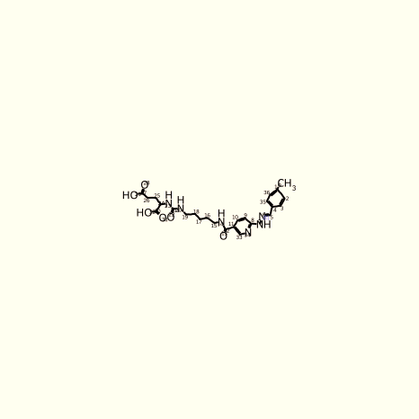 Cc1ccc(/C=N/Nc2ccc(C(=O)NCCCCCNC(=O)NC(CCC(=O)O)C(=O)O)cn2)cc1